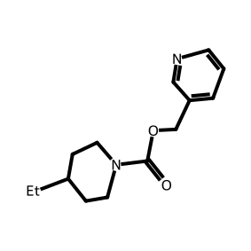 CCC1CCN(C(=O)OCc2cccnc2)CC1